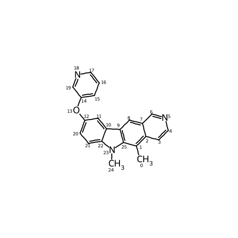 Cc1c2ccncc2cc2c3cc(Oc4cccnc4)ccc3n(C)c12